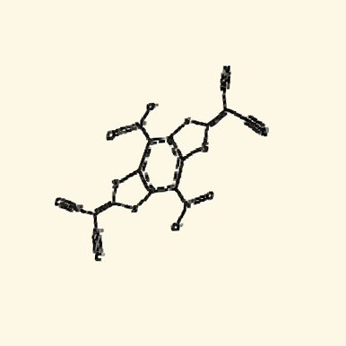 [C-]#[N+]C([N+]#[C-])=C1Sc2c(c([N+](=O)[O-])c3c(c2[N+](=O)[O-])SC(=C(C#N)C#N)S3)S1